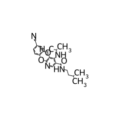 CC(C)CCNC(=O)c1cnc2c(c1NC(C)C)Oc1cc(C#N)ccc1O2